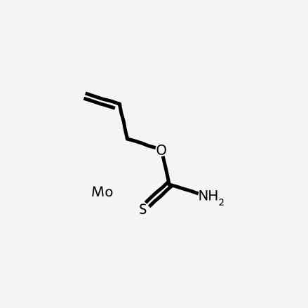 C=CCOC(N)=S.[Mo]